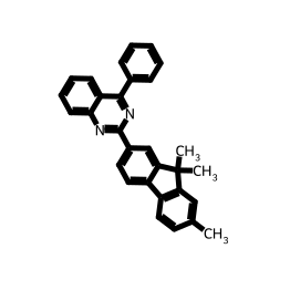 Cc1ccc2c(c1)C(C)(C)c1cc(-c3nc(-c4ccccc4)c4ccccc4n3)ccc1-2